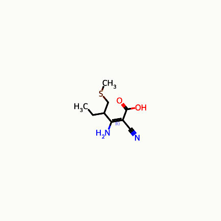 CCC(CSC)/C(N)=C(/C#N)C(=O)O